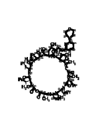 CC(C)C[C@@H]1C(=O)N[C@H](CC(C)C)C(=O)N(C)C(C(C)C)C(=O)N(C)C([C@H](O)[C@H](C)CCCc2cccc(N3CCOCC3)n2)C(=O)NC([C@@H](C)O)C(=O)N(C)CC(=O)N(C)[C@@H](CC(C)C)C(=O)N[C@H](CC(C)C)N(C)[C@H](CC(C)C)N[C@H](C)C(=O)OC(=O)N1C